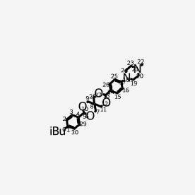 CCC(C)c1ccc(C2OCC3(CO2)COC(c2ccc(N4CCN(C)CC4)cc2)OC3)cc1